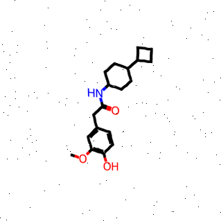 COc1cc(CC(=O)NC2CCC(C3CCC3)CC2)ccc1O